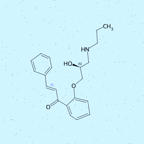 CCCNC[C@H](O)COc1ccccc1C(=O)/C=C/c1ccccc1